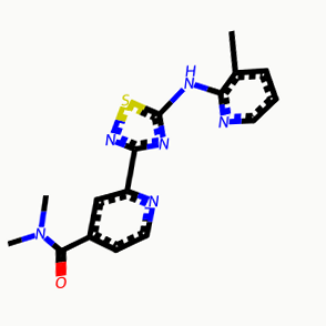 Cc1cccnc1Nc1nc(-c2cc(C(=O)N(C)C)ccn2)ns1